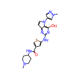 CN1CCC(NC(=O)c2csc(Nc3nc(O)c4c(ccn4-c4cnn(C)c4)n3)c2)CC1